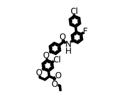 CCOC(=O)C1CCOc2cc(Oc3ccc(C(=O)Nc4ccc(F)c(-c5ccc(Cl)cc5)c4)cc3)c(Cl)cc21